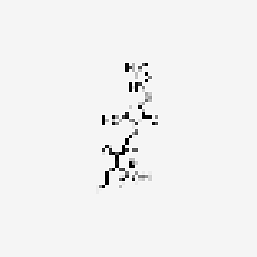 CCNSC1CC(O)N(CCNC(=O)C(CCI)S(=O)(=O)O)C1=O